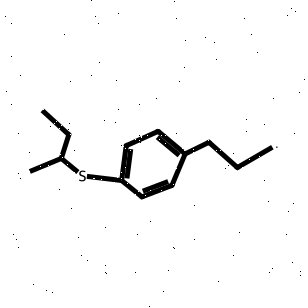 [CH2]CCc1ccc(SC(C)CC)cc1